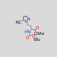 COC(=O)C(CCn1nccc1C#N)NC(=O)OC(C)(C)C